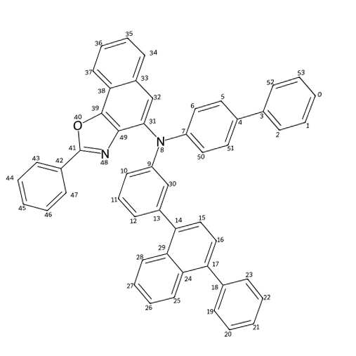 c1ccc(-c2ccc(N(c3cccc(-c4ccc(-c5ccccc5)c5ccccc45)c3)c3cc4ccccc4c4oc(-c5ccccc5)nc34)cc2)cc1